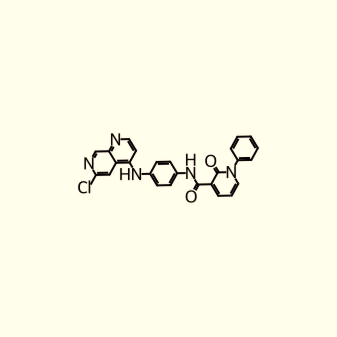 O=C(Nc1ccc(Nc2ccnc3cnc(Cl)cc23)cc1)c1cccn(-c2ccccc2)c1=O